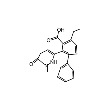 CCc1ccc(-c2ccccc2)c(C2=CCC(=O)NN2)c1C(=O)O